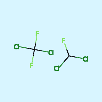 FC(Cl)Cl.FC(F)(Cl)Cl